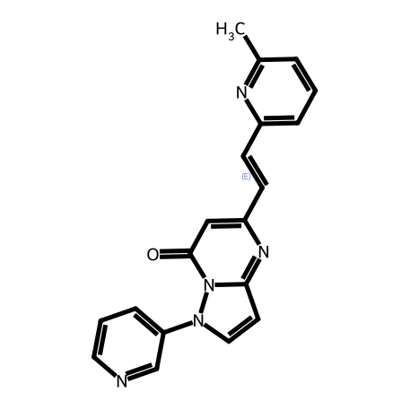 Cc1cccc(/C=C/c2cc(=O)n3c(ccn3-c3cccnc3)n2)n1